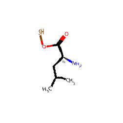 CC(C)C[C@H](N)C(=O)OS